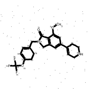 COc1cc(C2=CCNCC2)cc2c1C(=O)N(CC1=CC=C(OC(F)(F)F)CC1)C2